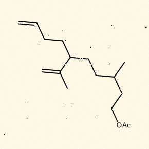 C=CCCC(CCC(C)CCOC(C)=O)C(=C)C